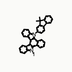 CC1(C)c2ccccc2-c2ccc(-n3c4ccccc4c4c5c6ccccc6n(I)c5c5ccccc5c43)cc21